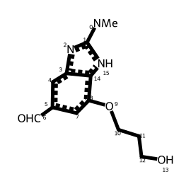 CNc1nc2cc(C=O)cc(OCCCO)c2[nH]1